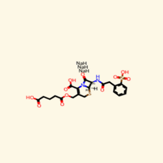 O=C(O)CCCC(=O)OCC1=C(C(=O)O)N2C(=O)[C@@H](NC(=O)Cc3ccccc3S(=O)(=O)O)[C@H]2SC1.[NaH].[NaH].[NaH]